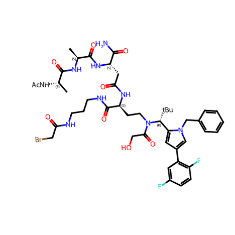 CC(=O)N[C@@H](C)C(=O)N[C@@H](C)C(=O)N[C@@H](CC(=O)N[C@@H](CCN(C(=O)CO)[C@@H](c1cc(-c2cc(F)ccc2F)cn1Cc1ccccc1)C(C)(C)C)C(=O)NCCCNC(=O)CBr)C(N)=O